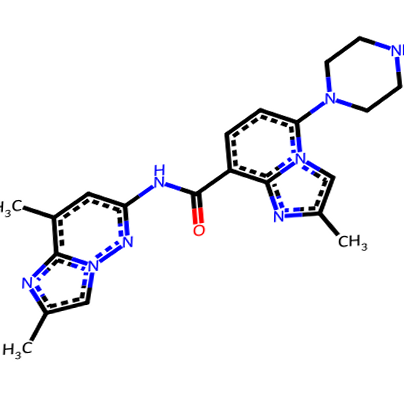 Cc1cn2nc(NC(=O)c3ccc(N4CCNCC4)n4cc(C)nc34)cc(C)c2n1